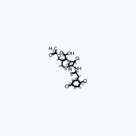 CC(=O)OCC1=C(C(=O)O)N2C(=O)[C@@H](NC(=S)Cc3cc(Cl)ccc3Cl)[C@H]2SC1